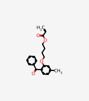 C=CC(=O)OCCCCOc1cc(C)ccc1C(=O)c1ccccc1